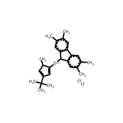 Cc1cc2c(cc1C)[CH]([Zr+2][C]1=CC(C(C)(C)C)=CC1C)c1cc(C)c(C)cc1-2.[Cl-].[Cl-]